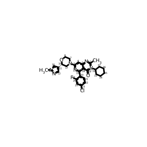 Cc1nc2cc(N3CCO[C@@H](c4cnn(C)c4)C3)nc(-c3ccc(Cl)cc3F)c2c(=O)n1C1CCCCC1